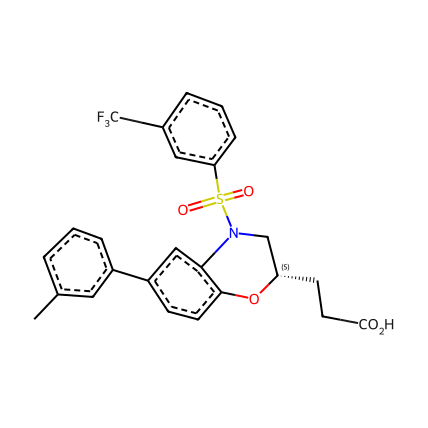 Cc1cccc(-c2ccc3c(c2)N(S(=O)(=O)c2cccc(C(F)(F)F)c2)C[C@H](CCC(=O)O)O3)c1